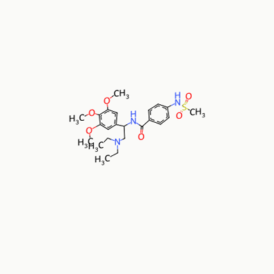 CCN(CC)CC(NC(=O)c1ccc(NS(C)(=O)=O)cc1)c1cc(OC)c(OC)c(OC)c1